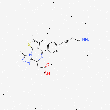 Cc1sc2c(c1C)C(c1ccc(C#CCCN)cc1)=NC(CC(=O)O)c1nnc(C)n1-2